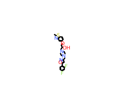 Cc1nc2cc(OC[C@H](O)CN3CCN(Cc4cc(-c5ccc(F)cc5F)on4)CC3)ccc2s1